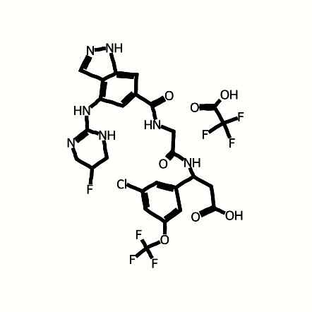 O=C(O)C(F)(F)F.O=C(O)CC(NC(=O)CNC(=O)c1cc(NC2=NCC(F)CN2)c2cn[nH]c2c1)c1cc(Cl)cc(OC(F)(F)F)c1